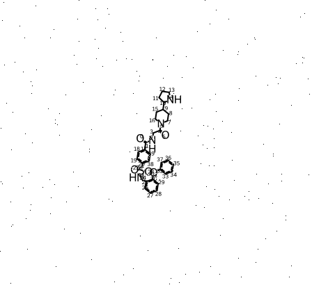 O=C(NCC(=O)N1CCC(C2CCCN2)CC1)c1ccc(S(=O)(=O)Nc2ccccc2Oc2ccccc2)cc1